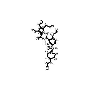 CCCc1c(C=O)c(CC)c2c(=O)[nH]c(-c3cc(S(=O)(=O)N4CCC(CCCl)CC4)ccc3OCC)nn12